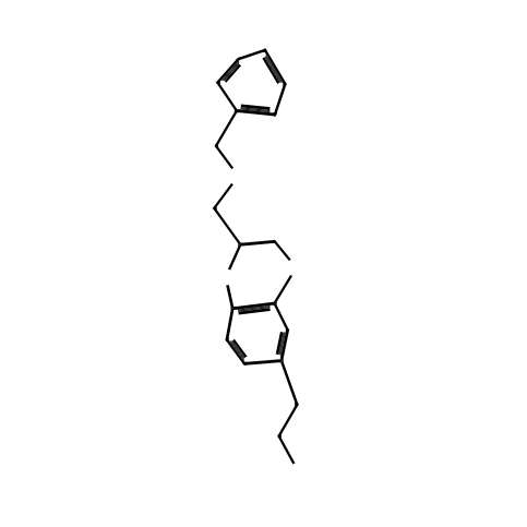 OCCc1ccc2c(c1)OCC(COCc1ccccc1)O2